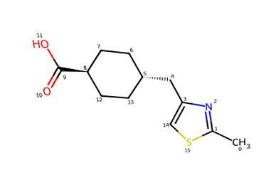 Cc1nc(C[C@H]2CC[C@H](C(=O)O)CC2)cs1